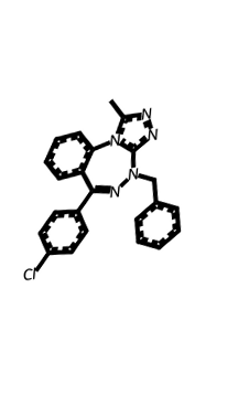 Cc1nnc2n1-c1ccccc1C(c1ccc(Cl)cc1)=NN2Cc1ccccc1